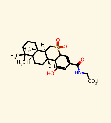 CC1(C)CCC[C@]2(C)[C@H]3CS(=O)(=O)C4C=C(C(=O)NCC(=O)O)C=C(O)C4[C@]3(C)CC[C@@H]12